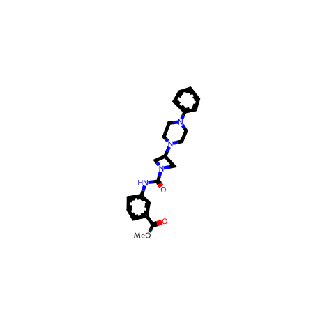 COC(=O)c1cccc(NC(=O)N2CC(N3CCN(c4ccccc4)CC3)C2)c1